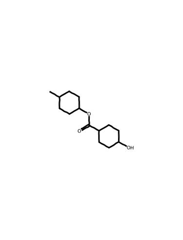 CC1CCC(OC(=O)C2CCC(O)CC2)CC1